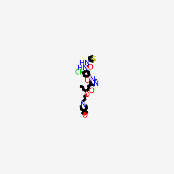 C=CC/C(OCCCN1CCC2(CC1)COC2)=C(\C=C1/CN=CN=C1Oc1ccc(NC(=O)Nc2ccsc2)c(Cl)c1)OC